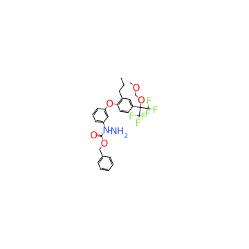 CCCc1cc(C(OCOC)(C(F)(F)F)C(F)(F)F)ccc1Oc1cccc(N(N)C(=O)OCc2ccccc2)c1